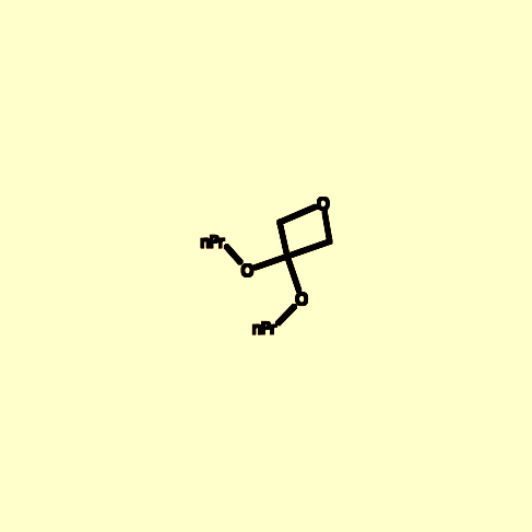 CCCOC1(OCCC)COC1